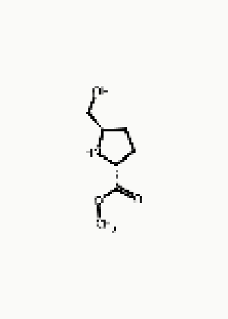 COC(=O)[C@H]1CC[C@H](CO)N1